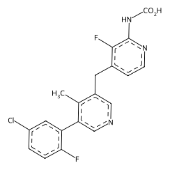 Cc1c(Cc2ccnc(NC(=O)O)c2F)cncc1-c1cc(Cl)ccc1F